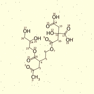 CC(=O)CC(CCOC(=O)CC(O)(CC(=O)O)C(=O)O)C(=O)OCC(O)CO